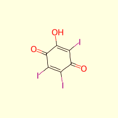 O=C1C(O)=C(I)C(=O)C(I)=C1I